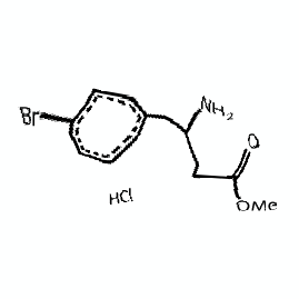 COC(=O)CC(N)c1ccc(Br)cc1.Cl